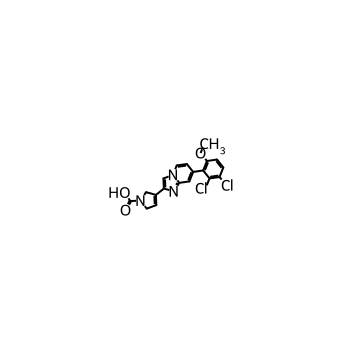 COc1ccc(Cl)c(Cl)c1-c1ccn2cc(C3=CCN(C(=O)O)C3)nc2c1